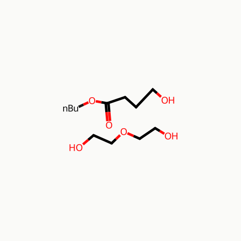 CCCCOC(=O)CCCO.OCCOCCO